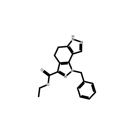 CCOC(=O)c1nn(Cc2ccccc2)c2c1CCc1[nH]ncc1-2